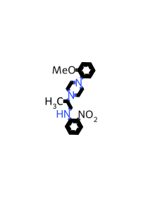 COc1ccccc1N1CCN(C(C)CNc2ccccc2[N+](=O)[O-])CC1